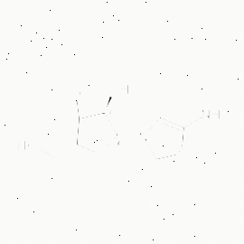 C[C@@]1(O)[C@@H](CO)O[C@@H](N2C=C(N)SC2)[C@@H]1O